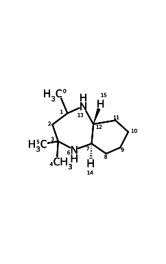 CC1CC(C)(C)N[C@@H]2CCCC[C@H]2N1